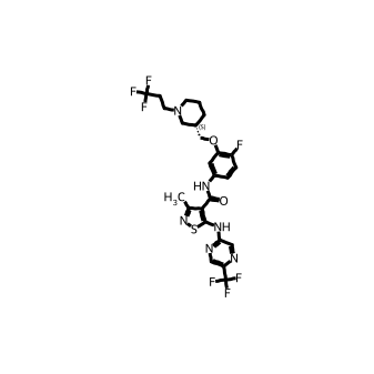 Cc1nsc(Nc2cnc(C(F)(F)F)cn2)c1C(=O)Nc1ccc(F)c(OC[C@H]2CCCN(CCC(F)(F)F)C2)c1